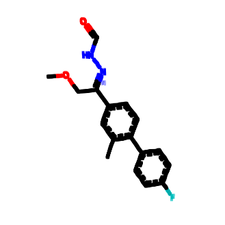 COC/C(=N\NC=O)c1ccc(-c2ccc(F)cc2)c(C)c1